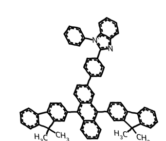 CC1(C)c2ccccc2-c2ccc(-c3c4ccccc4c(-c4ccc5c(c4)C(C)(C)c4ccccc4-5)c4cc(-c5ccc(-c6nc7ccccc7n6-c6ccccc6)cc5)ccc34)cc21